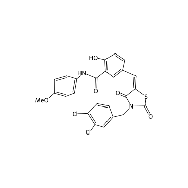 COc1ccc(NC(=O)c2cc(C=C3SC(=O)N(Cc4ccc(Cl)c(Cl)c4)C3=O)ccc2O)cc1